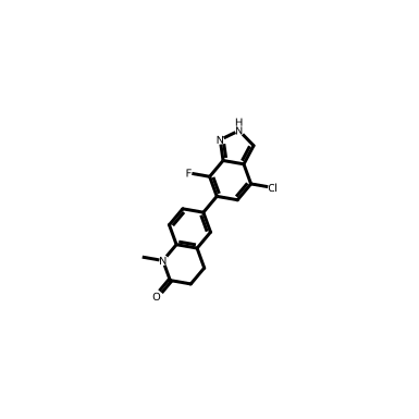 CN1C(=O)CCc2cc(-c3cc(Cl)c4c[nH]nc4c3F)ccc21